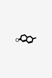 CC1C=CC2=CC(=O)CCC2C1